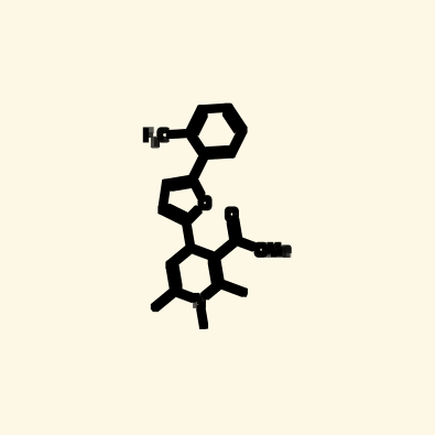 COC(=O)C1=C(C)N(C)C(C)=CC1c1ccc(-c2ccccc2C(F)(F)F)o1